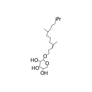 CC(=CCCOC1OCC(O)C(O)C1O)CCCC(C)CCCC(C)C